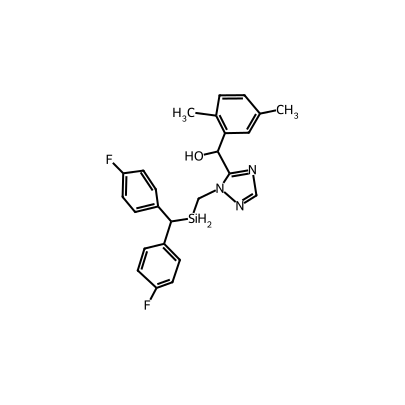 Cc1ccc(C)c(C(O)c2ncnn2C[SiH2]C(c2ccc(F)cc2)c2ccc(F)cc2)c1